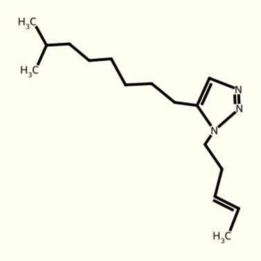 C/C=C/CCn1nncc1CCCCCCC(C)C